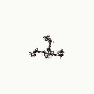 CN1Cc2c(Cl)cc(Cl)cc2[C@H](c2cccc(S(=O)(=O)NCCOCCOCCNC(=O)NCCCC(CCCNC(=O)NCCOCCOCCNS(=O)(=O)c3cccc([C@@H]4CN(C)Cc5c(Cl)cc(Cl)cc54)c3)(CCCNC(=O)NCCOCCOCCNS(=O)(=O)c3cccc([C@@H]4CN(C)Cc5c(Cl)cc(Cl)cc54)c3)NC(=O)CCC(=O)O)c2)C1